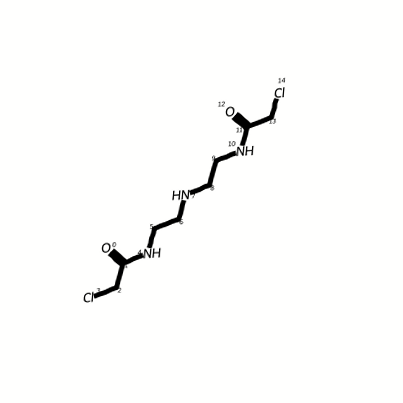 O=C(CCl)NCCNCCNC(=O)CCl